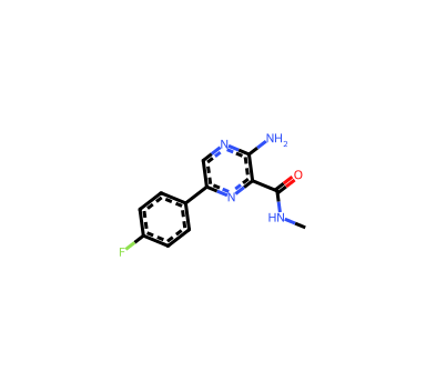 CNC(=O)c1nc(-c2ccc(F)cc2)cnc1N